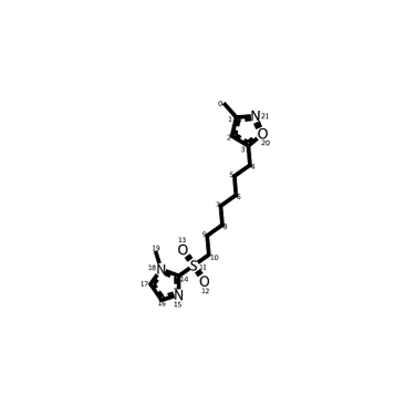 Cc1cc(CCCCCCCS(=O)(=O)c2nccn2C)on1